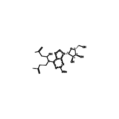 C=C(C)CCN(c1nc(SC)nc2c1ncn2[C@@H]1O[C@H](CO)[C@@H](O)[C@H]1O)C(O)CC(=C)C